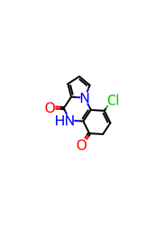 O=C1CC=C(Cl)c2c1[nH]c(=O)c1cccn21